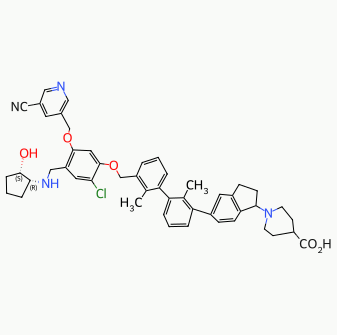 Cc1c(COc2cc(OCc3cncc(C#N)c3)c(CN[C@@H]3CCC[C@@H]3O)cc2Cl)cccc1-c1cccc(-c2ccc3c(c2)CCC3N2CCC(C(=O)O)CC2)c1C